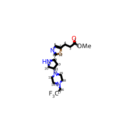 COC(=O)CCc1cnc([C@@H]2C[C@H](N3CCN(CC(F)(F)F)CC3)CN2)s1